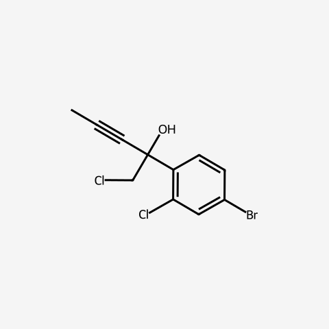 CC#CC(O)(CCl)c1ccc(Br)cc1Cl